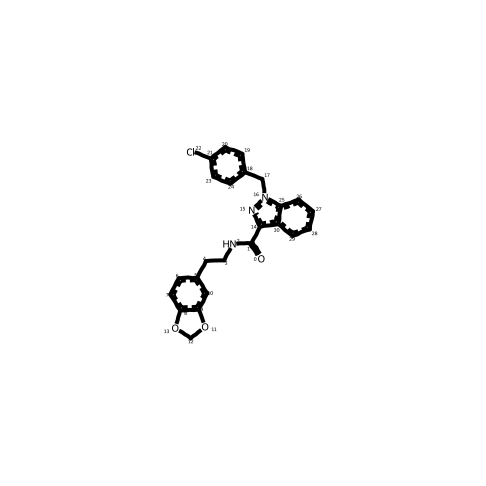 O=C(NCCc1ccc2c(c1)OCO2)c1nn(Cc2ccc(Cl)cc2)c2ccccc12